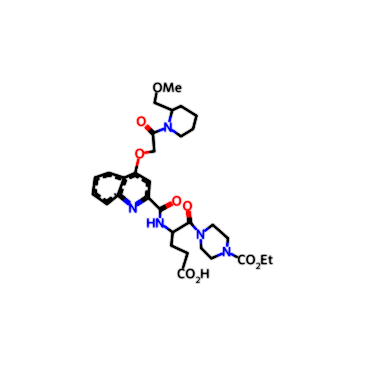 CCOC(=O)N1CCN(C(=O)C(CCC(=O)O)NC(=O)c2cc(OCC(=O)N3CCCCC3COC)c3ccccc3n2)CC1